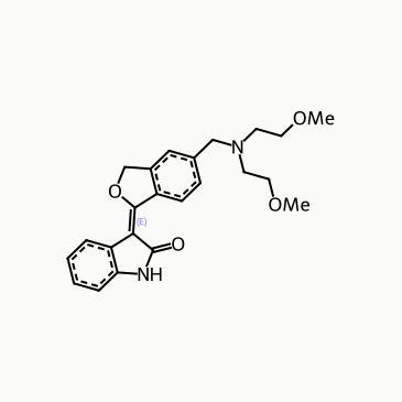 COCCN(CCOC)Cc1ccc2c(c1)CO/C2=C1/C(=O)Nc2ccccc21